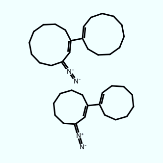 [N-]=[N+]=C1C=C(C2=CCCCCCCC2)CCCCCC1.[N-]=[N+]=C1C=C(C2=CCCCCCCCCC2)CCCCCCCC1